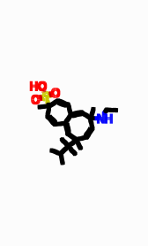 CCNC1(C)/C=C\C(C)(C(C)(C)C(C)C)/C=C2/C=CC(C)(S(=O)(=O)O)C=C/C2=C/1